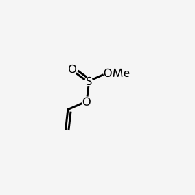 C=COS(=O)OC